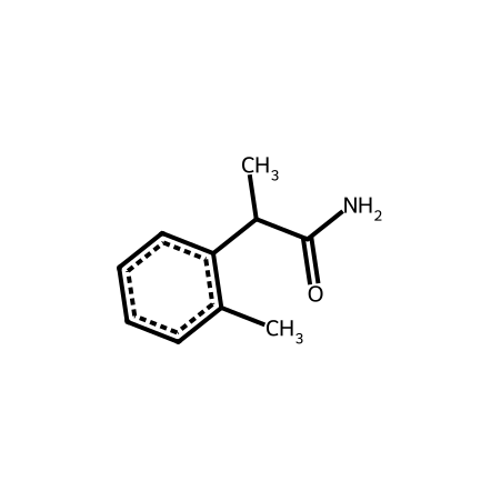 Cc1ccccc1C(C)C(N)=O